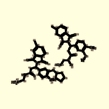 CCOc1cc(C(CC(=O)N(CC(=O)O)C(C)=O)N2C(=O)c3ccc(C)cc3C2=O)ccc1OC.COc1ccc(C(CC(=O)NCC(=O)O)N2C(=O)c3ccc(C)cc3C2=O)cc1OC1CCCC1